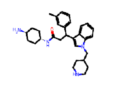 Cc1cccc(C(CC(=O)N[C@H]2CC[C@H](N)CC2)c2cn(CC3CCNCC3)c3ccccc23)c1